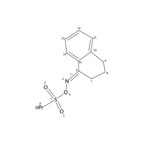 CCCS(=O)(=O)O/N=C1\CCCc2ccccc21